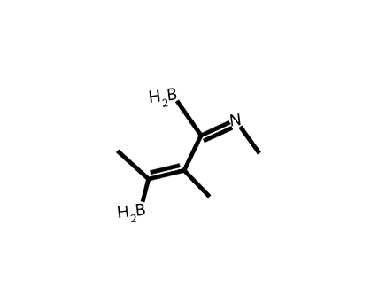 BC(=N/C)/C(C)=C(/B)C